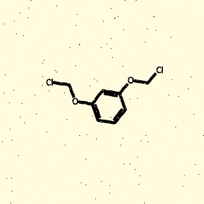 ClCOc1cccc(OCCl)c1